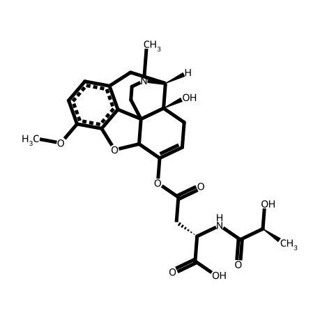 COc1ccc2c3c1OC1C(OC(=O)C[C@H](NC(=O)[C@H](C)O)C(=O)O)=CC[C@@]4(O)[C@@H](C2)N(C)CCC314